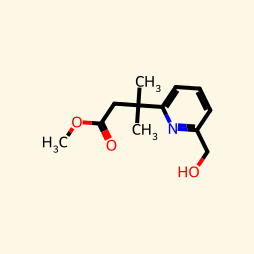 COC(=O)CC(C)(C)c1cccc(CO)n1